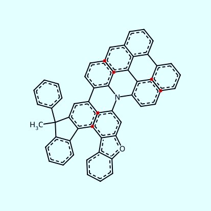 CC1(c2ccccc2)c2ccccc2-c2ccc(-c3ccccc3N(c3ccc4c(c3)oc3ccccc34)c3ccccc3-c3cccc4cccc(-c5ccccc5)c34)cc21